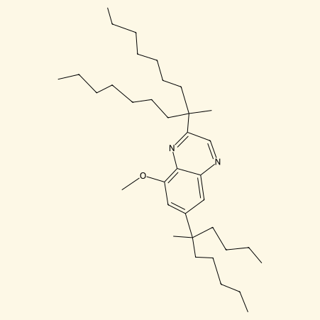 CCCCCCCC(C)(CCCCCCC)c1cnc2cc(C(C)(CCCC)CCCCC)cc(OC)c2n1